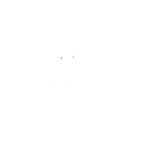 CCC1CCC(CC(C)(C)CC(C)(C)NC(=O)C(CC)(c2ccccc2)c2ccccc2)CC1